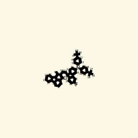 Cc1c2c(c3cccc4c3c1-c1ccccc1-4)OC(c1ccc(F)cc1)(c1ccc(N(c3ccc(C(C)(C)C)cc3)c3ccc(C(C)(C)C)cc3)cc1)C=C2